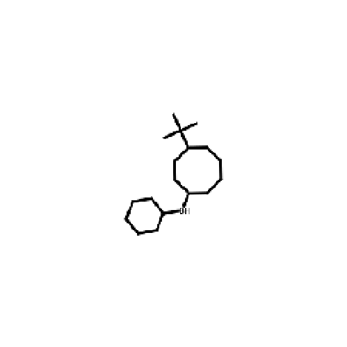 CC(C)(C)C1CCCCC(BC2CCCCC2)CC1